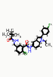 CCN1C(c2ccc(F)cc2)=CC2C=C(NC(=O)c3cc(CNC(=O)C(C)(C)C)ccc3Br)C=CC21